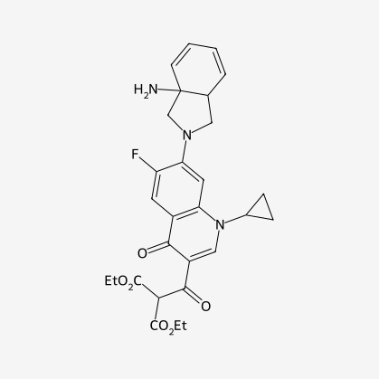 CCOC(=O)C(C(=O)OCC)C(=O)c1cn(C2CC2)c2cc(N3CC4C=CC=CC4(N)C3)c(F)cc2c1=O